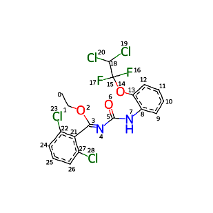 CCO/C(=N\C(=O)Nc1ccccc1OC(F)(F)C(Cl)Cl)c1c(Cl)cccc1Cl